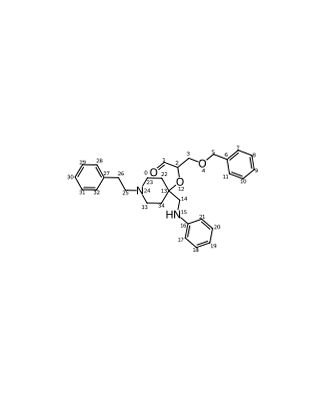 O=CC(COCc1ccccc1)OC1(CNc2ccccc2)CCN(CCc2ccccc2)CC1